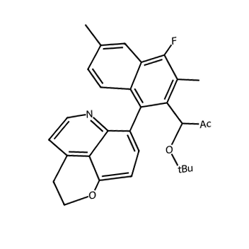 CC(=O)C(OC(C)(C)C)c1c(C)c(F)c2cc(C)ccc2c1-c1ccc2c3c(ccnc13)CCO2